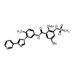 COc1c(NS(C)(=O)=O)cc(C(C)(C)C)cc1C(=O)Nc1ccc(C)c(-n2cnc(-c3cccnc3)c2)c1